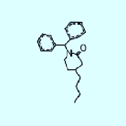 CCCCC1CCN(C(c2ccccc2)c2ccccc2)C(=O)C1